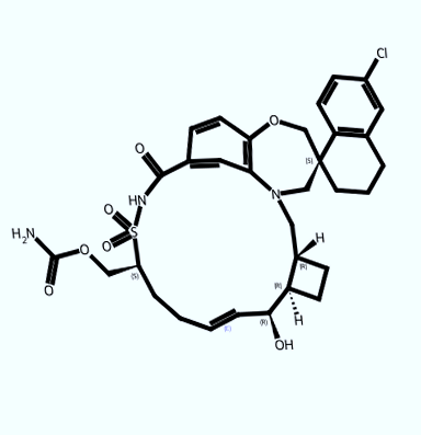 NC(=O)OC[C@@H]1CC/C=C/[C@H](O)[C@@H]2CC[C@H]2CN2C[C@@]3(CCCc4cc(Cl)ccc43)COc3ccc(cc32)C(=O)NS1(=O)=O